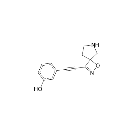 Oc1cccc(C#CC2=NOC23CCNC3)c1